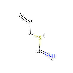 C=CCS[C]=N